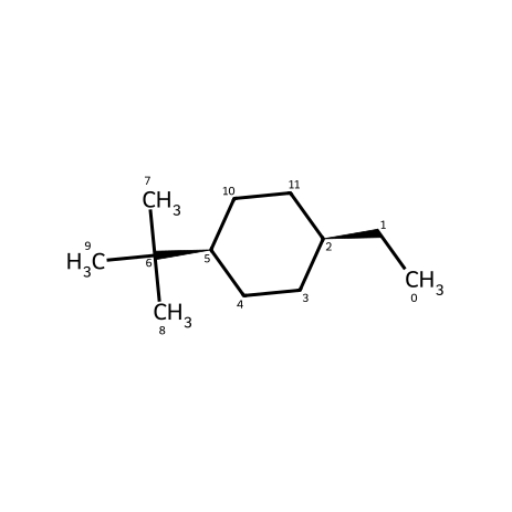 CC[C@H]1CC[C@@H](C(C)(C)C)CC1